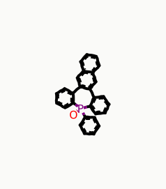 O=P1(c2ccccc2)c2ccccc2-c2cc3ccccc3cc2-c2ccccc21